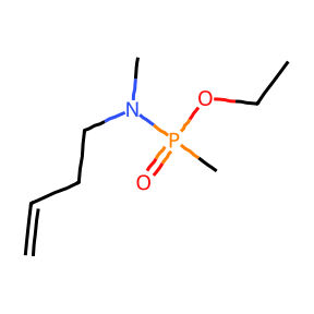 C=CCCN(C)P(C)(=O)OCC